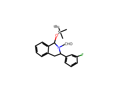 CC(C)(C)[Si](C)(C)OC1c2ccccc2CC(c2cccc(F)c2)N1C=O